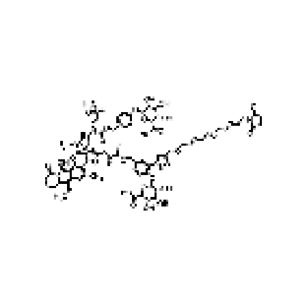 COc1c2c(c(O)c3c4c(c(C)cc13)C1OC3(CNC(=O)OCc5ccc(O[C@@H]6O[C@H](C(=O)O)[C@@H](O)[C@H](O)[C@H]6O)c(-n6cc(COCCOCCOCCOCCN7C(=O)C=CC7=O)nn6)c5)OC1[C@@](OC)(O4)[C@]3(CBr)OCN(CCS(C)(=O)=O)C(=O)OCc1ccc(O[C@@H]3O[C@H](C(=O)O)[C@@H](O)[C@H](O)[C@H]3O)cc1)C(=O)CCC2